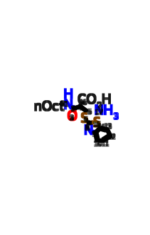 CCCCCCCCNC(=O)C(CSc1nc2ccccc2s1)C(=O)O.N